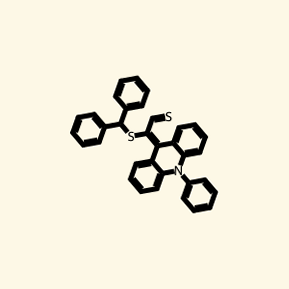 S=CC(SC(c1ccccc1)c1ccccc1)=C1c2ccccc2N(c2ccccc2)c2ccccc21